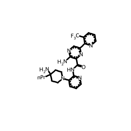 CCCC1(N)CCN(c2cccnc2NC(=O)c2nc(-c3ncccc3C(F)(F)F)cnc2N)CC1